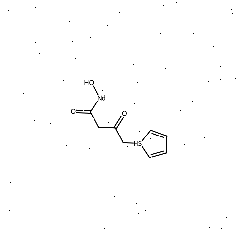 O=C(C[C](=O)[Nd][OH])C[SH]1C=CC=C1